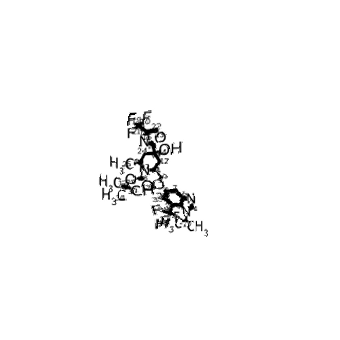 CC(C)n1cnc2cc(OC[C@@H]3C[C@@](O)(c4nc(C(F)(F)F)co4)C[C@H](C)N3C(=O)OC(C)(C)C)cc(C(F)(F)F)c21